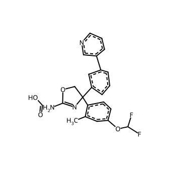 Cc1cc(OC(F)F)ccc1C1(c2cccc(-c3cccnc3)c2)COC(N)=N1.O=CO